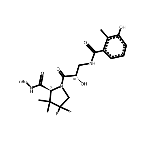 CCCCNC(=O)[C@H]1N(C(=O)[C@@H](O)CNC(=O)c2cccc(O)c2C)CC(F)(F)C1(C)C